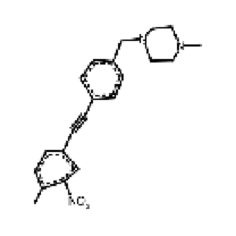 Cc1ccc(C#Cc2ccc(CN3CCN(C)CC3)cc2)cc1[N+](=O)[O-]